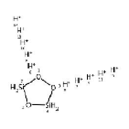 O1O[SiH2]O[SiH2]1.[H+].[H+].[H+].[H+].[H+].[H+].[H+].[H+].[H+].[H+]